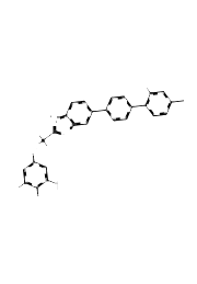 Cc1ccc(-c2ccc(-c3ccc4nc(C(F)(F)Oc5cc(F)c(F)c(F)c5)sc4c3)cc2)c(F)c1